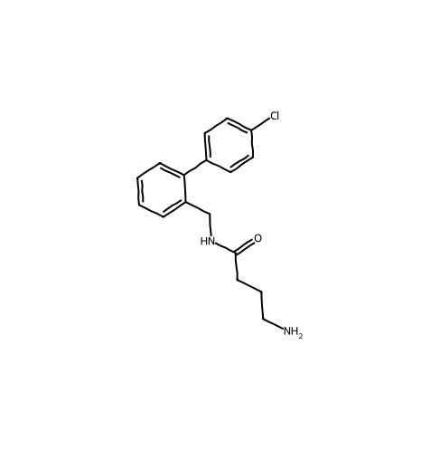 NCCCC(=O)NCc1ccccc1-c1ccc(Cl)cc1